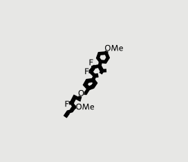 C=C/C=C(OC)\C(F)=C/COCc1ccc(C(=C)/C(F)=C(/F)C(=C(C)C)C2CCC(OC)CC2)cc1